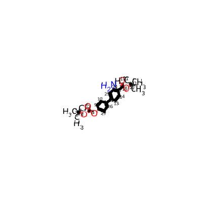 CC(C)(C)OC(=O)Oc1ccc(-c2ccc(C(=O)OC(C)(C)C)c(N)c2)cc1